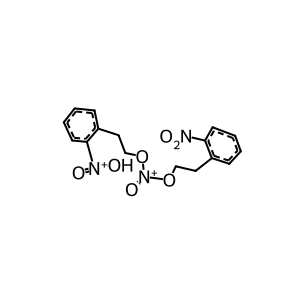 O=[N+](OCCc1ccccc1[N+](=O)[O-])OCCc1ccccc1[N+](=O)O